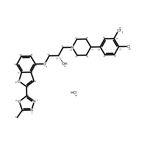 Cc1nnc(-c2cc3c(OC[C@@H](O)CN4CCC(c5ccc(Cl)c(C(F)(F)F)c5)CC4)cccc3o2)o1.Cl